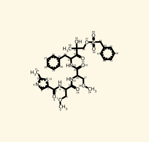 COCC(NC(=O)c1cnc(C)s1)C(=O)NC(COC)C(=O)NC(Cc1ccccc1)C(=O)C(C)(O)COS(=O)(=O)Cc1ccccc1